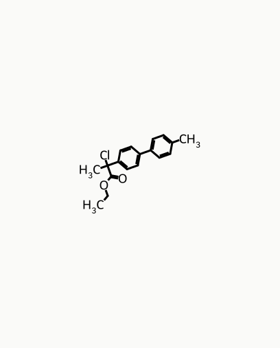 CCOC(=O)C(C)(Cl)c1ccc(-c2ccc(C)cc2)cc1